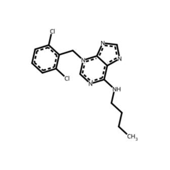 CCCCNc1ncn(Cc2c(Cl)cccc2Cl)c2ncnc1-2